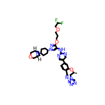 C[C@@H](Cn1cnnn1)Oc1cc(-c2cnc(Nc3cn([C@H]4CC[C@H](N5[C@@H]6CC[C@H]5COC6)CC4)nc3OCCCOCC(F)F)nc2)ccc1C#N